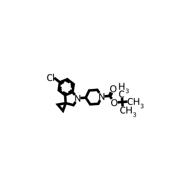 CC(C)(C)OC(=O)N1CCC(N2CC3(CC3)c3cc(Cl)ccc32)CC1